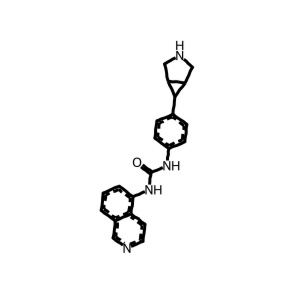 O=C(Nc1ccc(C2C3CNCC32)cc1)Nc1cccc2cnccc12